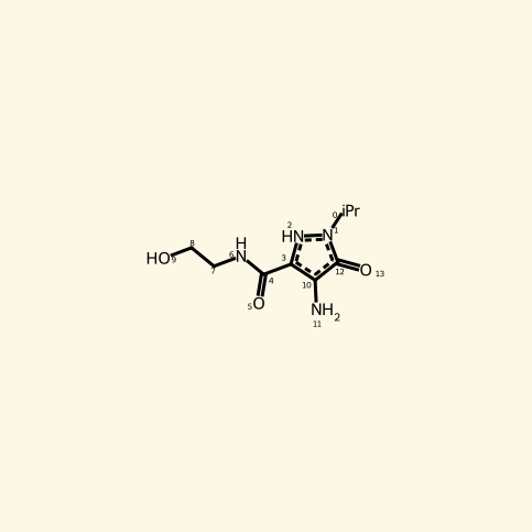 CC(C)n1[nH]c(C(=O)NCCO)c(N)c1=O